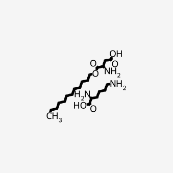 CCCCCCCCCCCCOC(=O)C(N)CC(=O)O.NCCCCC(N)C(=O)O